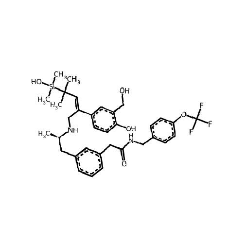 C[C@H](Cc1cccc(CC(=O)NCc2ccc(OC(F)(F)F)cc2)c1)NC/C(=C\C(C)(C)[Si](C)(C)O)c1ccc(O)c(CO)c1